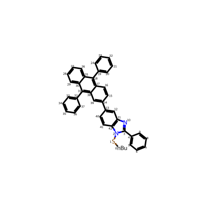 CCCCSn1c(-c2ccccc2)nc2cc(-c3ccc4c(-c5ccccc5)c5ccccc5c(-c5ccccc5)c4c3)ccc21